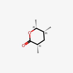 C[C@@H]1C[C@H](C)C(=O)O[C@@H]1C